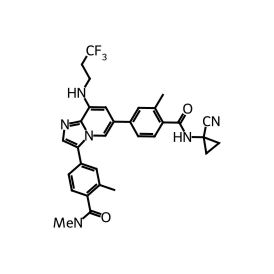 CNC(=O)c1ccc(-c2cnc3c(NCCC(F)(F)F)cc(-c4ccc(C(=O)NC5(C#N)CC5)c(C)c4)cn23)cc1C